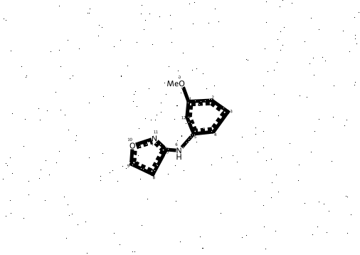 COc1cccc(Nc2ccon2)c1